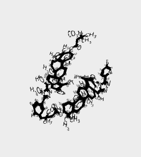 CC(C)C1=C2[C@H]3CC[C@@H]4[C@@]5(C)CC[C@H](OC(=O)CC(C)(C)C(=O)O)C(C)(C)[C@@H]5CC[C@@]4(C)[C@]3(C)CC[C@@]2(C(O)c2nnc(-c3ccc(F)c(CC(C)(CC(=O)O[C@H]4CC[C@]5(C)[C@H]6CC[C@@H]7C8=C(C(C)C)C(=O)C[C@]8([C@@H](O)c8nnc(-c9ccc(F)cn9)n8C)CC[C@@]7(C)[C@]6(C)CC[C@H]5C4(C)C)C(=O)O)c3)n2C)CC1=O